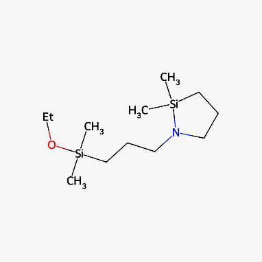 CCO[Si](C)(C)CCCN1CCC[Si]1(C)C